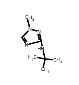 Cn1cnc(NC(C)(C)C)n1